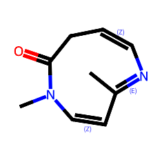 CC1=N\C=C/CC(=O)N(C)/C=C\1